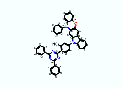 N#Cc1cc(-n2c3ccccc3c3cc4c(cc32)N(c2ccccc2)c2ccccc2O4)ccc1-c1nc(-c2ccccc2)nc(-c2ccccc2)n1